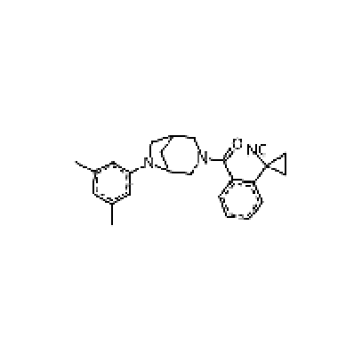 Cc1cc(C)cc(N2CC3CC2CN(C(=O)c2ccccc2C2(C#N)CC2)C3)c1